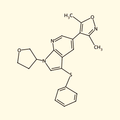 Cc1noc(C)c1-c1cnc2c(c1)c(Sc1ccccc1)cn2C1CCOC1